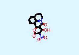 O=c1oc2c(c(O)c1[N+](=O)[O-])c(=O)n1c3c(cccc23)CCC1